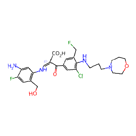 Nc1cc(N/C=C(/C(=O)O)C(=O)c2cc(Cl)c(NCCCN3CCCOCC3)c(CF)c2)c(CO)cc1F